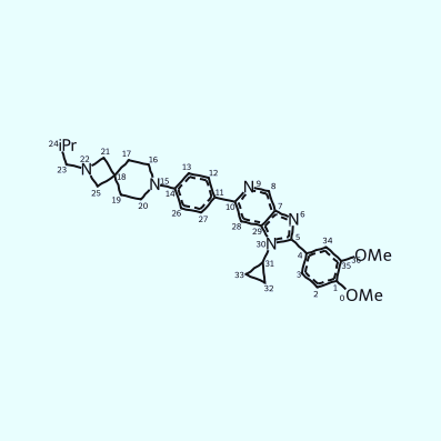 COc1ccc(-c2nc3cnc(-c4ccc(N5CCC6(CC5)CN(CC(C)C)C6)cc4)cc3n2C2CC2)cc1OC